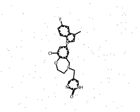 Cc1cn(-c2cc(Cl)c3c(c2)CN(Cc2cnc(=O)[nH]c2)CCO3)c2ccc(F)cc12